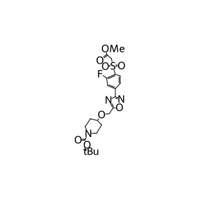 COC(=O)CS(=O)(=O)c1ccc(-c2noc(COC3CCN(C(=O)OC(C)(C)C)CC3)n2)cc1F